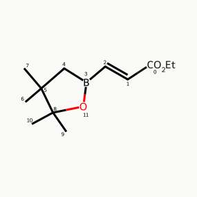 CCOC(=O)/C=C/B1CC(C)(C)C(C)(C)O1